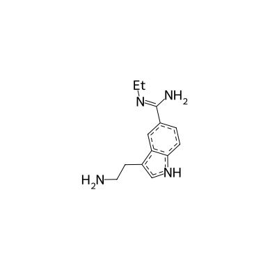 CCN=C(N)c1ccc2[nH]cc(CCN)c2c1